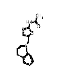 CC(=O)Nc1ncc(CN2C=CCc3ccccc32)s1